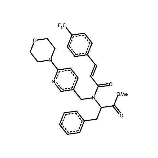 COC(=O)C(Cc1ccccc1)N(Cc1ccc(N2CCOCC2)nc1)C(=O)C=Cc1ccc(C(F)(F)F)cc1